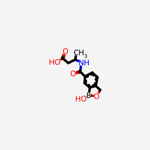 CC(CC(=O)O)NC(=O)c1ccc2c(c1)B(O)OC2